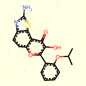 CC(C)Oc1ccccc1-c1oc2ccc3nc(N)sc3c2c(=O)c1O